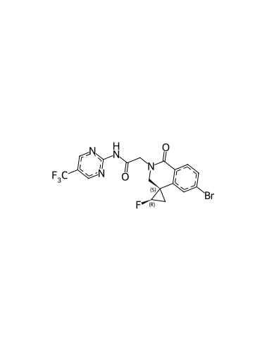 O=C(CN1C[C@]2(C[C@H]2F)c2cc(Br)ccc2C1=O)Nc1ncc(C(F)(F)F)cn1